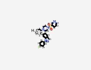 CCCN1CCN(S(=O)(=O)c2cccnc2)C[C@@H]1c1cc2cnn(-c3ccc(F)cc3)c2cc1C